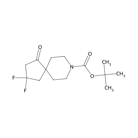 CC(C)(C)OC(=O)N1CCC2(CC1)CC(F)(F)CC2=O